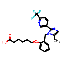 Cc1cnc(-c2ccc(C(F)(F)F)nc2)n1Cc1ccccc1OCCCCCC(=O)O